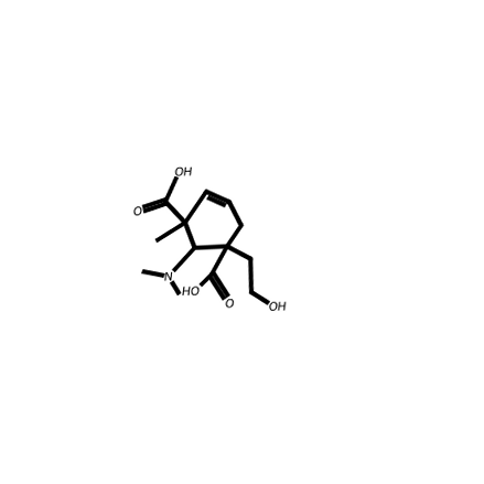 CN(C)C1C(C)(C(=O)O)C=CCC1(CCO)C(=O)O